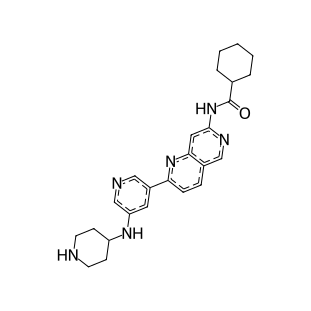 O=C(Nc1cc2nc(-c3cncc(NC4CCNCC4)c3)ccc2cn1)C1CCCCC1